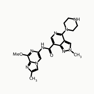 COc1nc(NC(=O)c2cnc(N3CCNCC3)c3cn(C)nc23)cn2cc(C)nc12